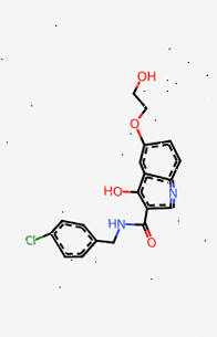 O=C(NCc1ccc(Cl)cc1)c1cnc2ccc(OCCO)cc2c1O